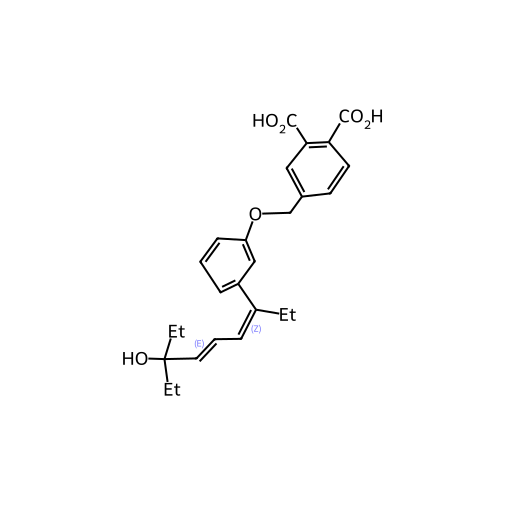 CC/C(=C/C=C/C(O)(CC)CC)c1cccc(OCc2ccc(C(=O)O)c(C(=O)O)c2)c1